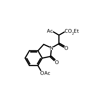 CCOC(=O)C(C(C)=O)C(=O)N1Cc2cccc(OC(C)=O)c2C1=O